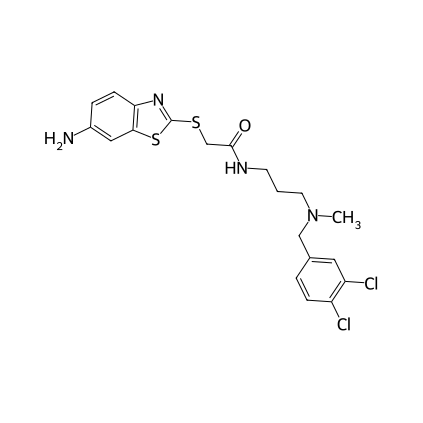 CN(CCCNC(=O)CSc1nc2ccc(N)cc2s1)Cc1ccc(Cl)c(Cl)c1